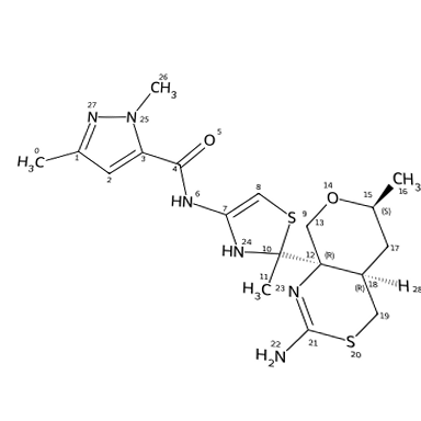 Cc1cc(C(=O)NC2=CSC(C)([C@]34CO[C@@H](C)C[C@H]3CSC(N)=N4)N2)n(C)n1